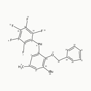 Cc1cc(Pc2c(F)c(F)c(F)c(F)c2F)c(OCc2ccccc2)c(C(C)(C)C)c1